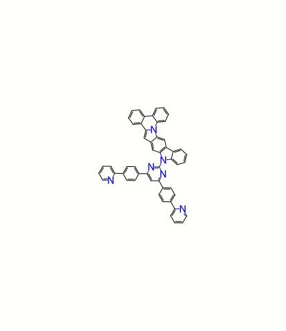 c1ccc(-c2ccc(-c3cc(-c4ccc(-c5ccccn5)cc4)nc(-n4c5ccccc5c5cc6c(cc54)cc4c5ccccc5c5ccccc5n64)n3)cc2)nc1